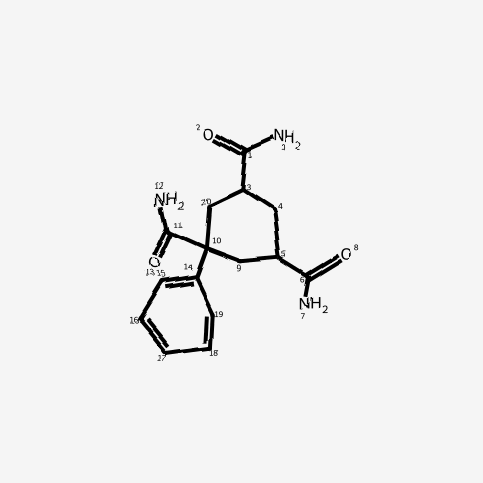 NC(=O)C1CC(C(N)=O)CC(C(N)=O)(c2ccccc2)C1